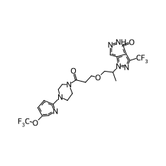 CC(COCCC(=O)N1CCN(c2ccc(OC(F)(F)F)cn2)CC1)n1nc(C(F)(F)F)c2c(=O)[nH]ncc21